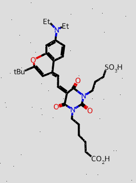 CCN(CC)c1ccc2c(c1)OC(C(C)(C)C)=CC2=CC=C1C(=O)N(CCCCCC(=O)O)C(=O)N(CCCS(=O)(=O)O)C1=O